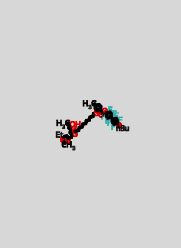 CCCCOc1c(F)c(F)c(-c2c(F)c(F)c(OC(=O)c3ccc(C)cc3OCCCCCCCCCCC3OC(CC(C)O)CC(CC4CC(CC)OC(C)O4)O3)c(F)c2F)c(F)c1F